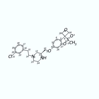 CS(=O)(=O)C1(c2ccc(OC[C@@H]3CN(CCc4cccc(Cl)c4)CCN3)cc2)COC1